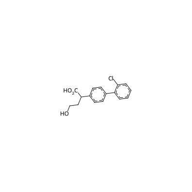 O=C(O)C(CCO)c1ccc(-c2ccccc2Cl)cc1